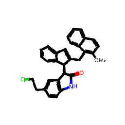 COc1ccc2ccccc2c1CC1=Cc2ccccc2C1C1C(=O)Nc2ccc(CCCl)cc21